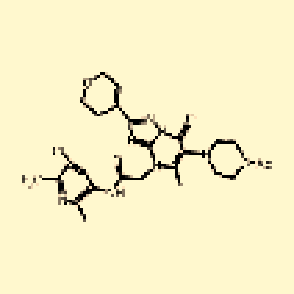 CC(=O)N1CCN(c2c(C)n(CC(=O)Nc3cc(Cl)c(C(F)(F)F)nc3C)c3nc(C4=CCOCC4)nn3c2=O)CC1